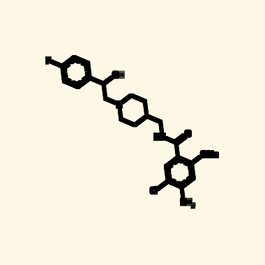 COc1cc(N)c(Cl)cc1C(=O)NCC1CCN(CC(O)c2ccc(F)cc2)CC1